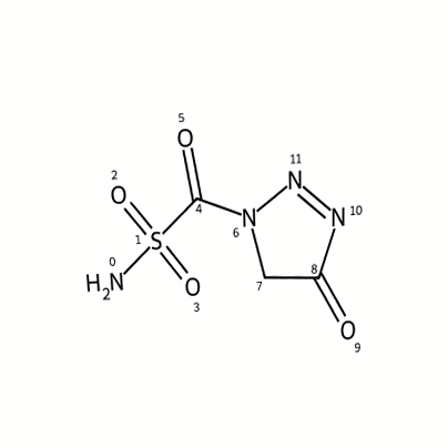 NS(=O)(=O)C(=O)N1CC(=O)N=N1